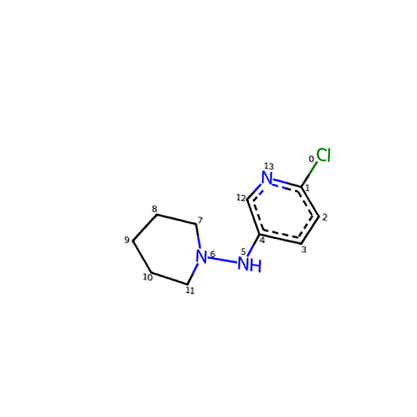 Clc1ccc(NN2CCCCC2)cn1